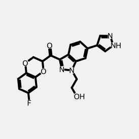 O=C(c1nn(CCO)c2cc(-c3cn[nH]c3)ccc12)C1COc2ccc(F)cc2O1